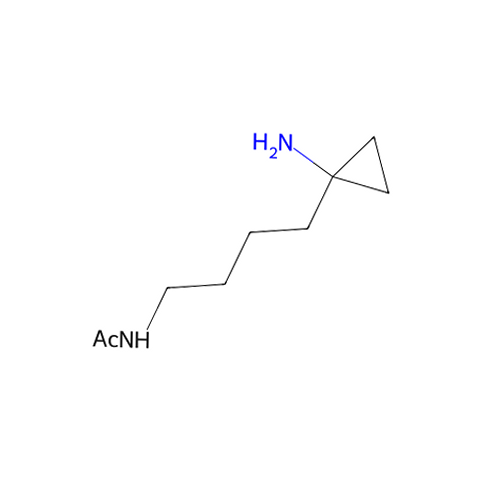 CC(=O)NCCCCC1(N)CC1